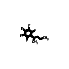 CCCC(C)c1c(F)c(F)c(F)c(F)c1F